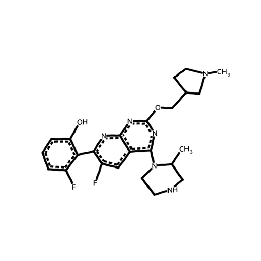 CC1CNCCN1c1nc(OCC2CCN(C)C2)nc2nc(-c3c(O)cccc3F)c(F)cc12